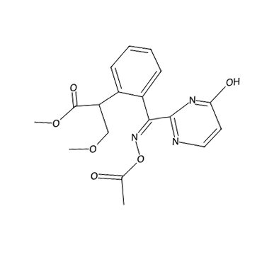 COCC(C(=O)OC)c1ccccc1C(=NOC(C)=O)c1nccc(O)n1